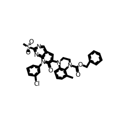 Cc1cccc2c1N(C(=O)OCc1ccccc1)CCN2c1cc2cnc(S(C)(=O)=O)nc2n(-c2cccc(Cl)c2)c1=O